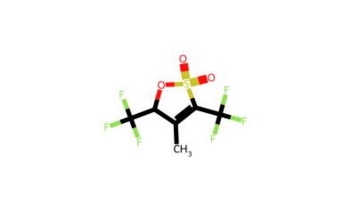 CC1=C(C(F)(F)F)S(=O)(=O)OC1C(F)(F)F